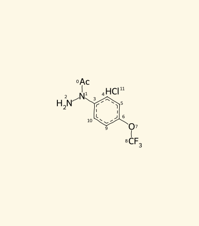 CC(=O)N(N)c1ccc(OC(F)(F)F)cc1.Cl